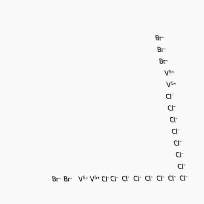 [Br-].[Br-].[Br-].[Br-].[Br-].[Cl-].[Cl-].[Cl-].[Cl-].[Cl-].[Cl-].[Cl-].[Cl-].[Cl-].[Cl-].[Cl-].[Cl-].[Cl-].[Cl-].[Cl-].[V+5].[V+5].[V+5].[V+5]